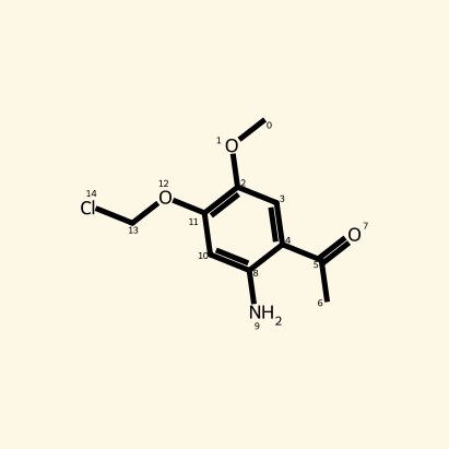 COc1cc(C(C)=O)c(N)cc1OCCl